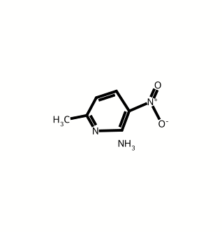 Cc1ccc([N+](=O)[O-])cn1.N